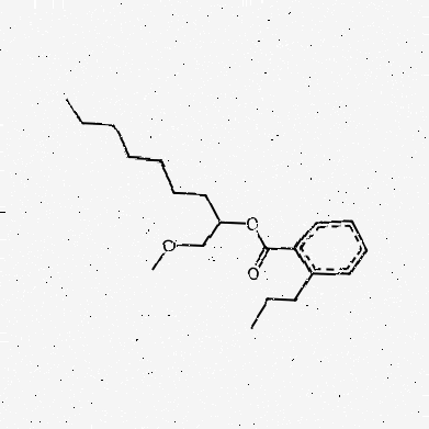 CCCCCCCC(COC)OC(=O)c1ccccc1CCC